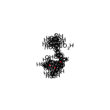 CC1OC(OC2C(C)OC(OC(=O)[C@]34CCC(C)(C)CC3C3=CCC5[C@@]6(C)CC[C@H](OC7OC(C(=O)O)C(O)C(OC8OCC(O)C(O)C8O)C7OC7OC(CO)C(O)C(O)C7O)CC6[C@@](C)(C=O)C[C@@]5(C)[C@]3(C)C[C@H]4O)C(OC3OC(C)C(OC4OCC(O)C(OC5OC(CO)C(O)C(O)C5O)C4O)C(O)C3O)C2O)C(O)C(OC2OCC(O)C(O)C2O)C1O